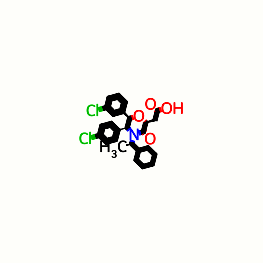 C[C@@H](C1CCCCC1)N1C(=O)[C@H](CC(=O)O)O[C@H](c2cccc(Cl)c2)[C@H]1c1ccc(Cl)cc1